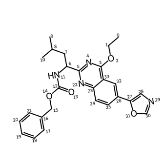 CCOc1nc(C(CC(C)C)NC(=O)OCc2ccccc2)nc2ccc(-c3cnco3)cc12